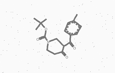 Cc1ccc(C(=O)C2CN(C(=O)OC(C)(C)C)CCC2=O)cc1